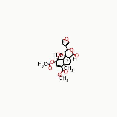 COC(=O)C1=C[C@H](OC(C)=O)[C@H](O)C2[C@@]1(C)CC[C@@H]1C(=O)O[C@H](c3ccoc3)C[C@]21C